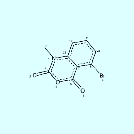 Cn1c(=O)oc(=O)c2c(Br)cccc21